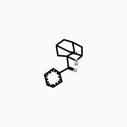 O=C(c1ccccc1)C12CC3CC(C1)C(O)C(C3)N2